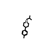 Cc1ccc(C2CCN(CC(C)C)CC2)cc1